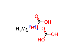 N.O=C(O)O.O=C(O)O.[MgH2]